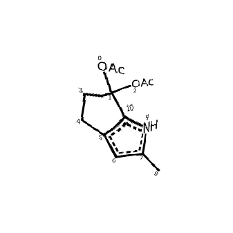 CC(=O)OC1(OC(C)=O)CCc2cc(C)[nH]c21